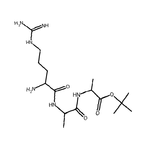 CC(NC(=O)C(N)CCCNC(=N)N)C(=O)NC(C)C(=O)OC(C)(C)C